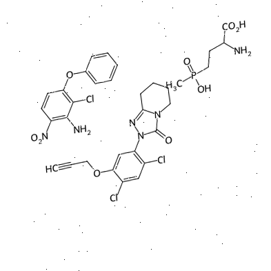 C#CCOc1cc(-n2nc3n(c2=O)CCCC3)c(Cl)cc1Cl.CP(=O)(O)CCC(N)C(=O)O.Nc1c([N+](=O)[O-])ccc(Oc2ccccc2)c1Cl